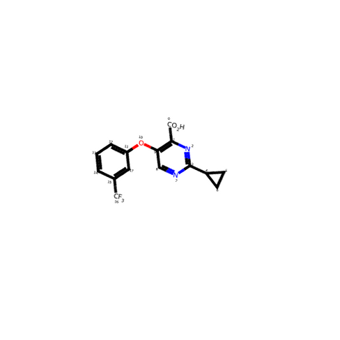 O=C(O)c1nc(C2CC2)ncc1Oc1cccc(C(F)(F)F)c1